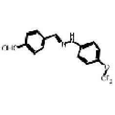 O=Cc1ccc(/C=N/Nc2ccc(OC(F)(F)F)cc2)cc1